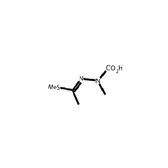 CSC(C)=NN(C)C(=O)O